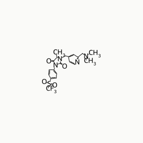 CC1C(=O)N(c2ccc(S(=O)(=O)C(F)(F)F)cc2)C(=O)N1Cc1ccnc(CN(C)C)c1